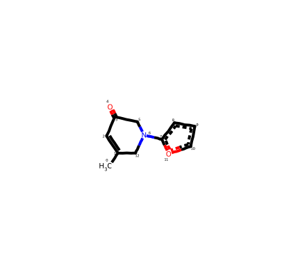 CC1=CC(=O)CN(c2ccco2)C1